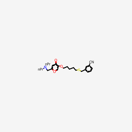 CCCN(CCC)Cc1cc(=O)c(OCCCCCSCc2cccc(C#N)c2)co1